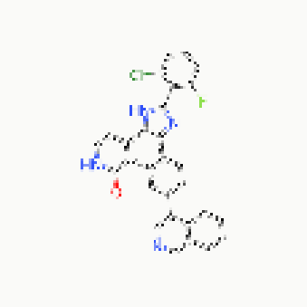 O=c1[nH]ccc2c3[nH]c(-c4c(F)cccc4Cl)nc3c3ccc(-c4cncc5ccccc45)cc3c12